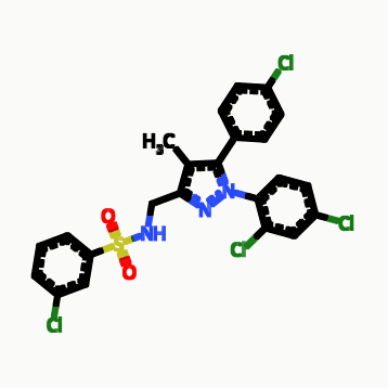 Cc1c(CNS(=O)(=O)c2cccc(Cl)c2)nn(-c2ccc(Cl)cc2Cl)c1-c1ccc(Cl)cc1